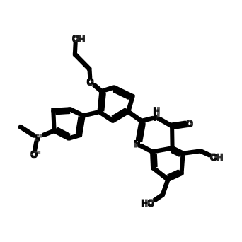 C[S+]([O-])c1ccc(-c2cc(-c3nc4cc(CO)cc(CO)c4c(=O)[nH]3)ccc2OCCO)cc1